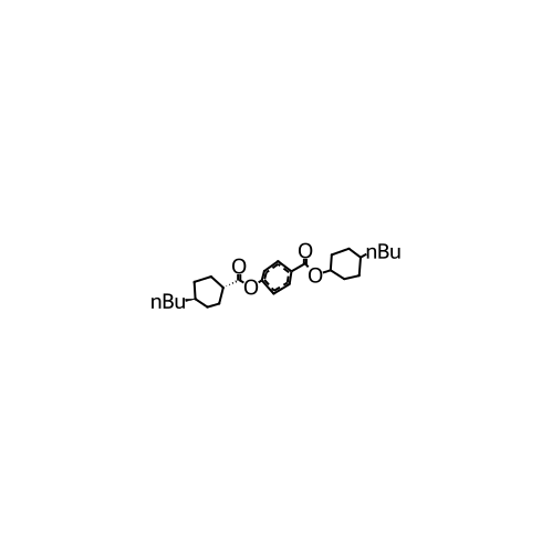 CCCCC1CCC(OC(=O)c2ccc(OC(=O)[C@H]3CC[C@H](CCCC)CC3)cc2)CC1